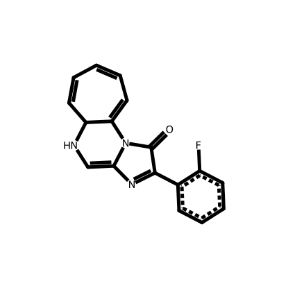 O=C1C(c2ccccc2F)=NC2=CNC3C=CC=CC=C3N12